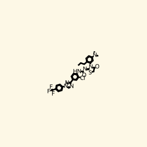 CCCc1ccc(N(C)C)cc1N1C(=O)CSC1=NC(=O)Nc1ccc(-c2ncn(-c3ccc(C(F)(F)F)cc3)n2)cc1Cl